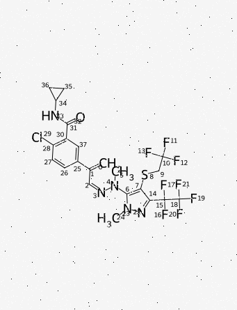 C=C(/C=N\N(C)c1c(SCC(F)(F)F)c(C(F)(F)C(F)(F)F)nn1C)c1ccc(Cl)c(C(=O)NC2CC2)c1